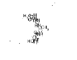 COC(=O)c1cc2cc(NCc3cc(NC(=O)c4ccc(O)c(C(F)(F)F)c4)ccc3C)cnc2[nH]1